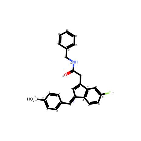 O=C(CC1=C/C(=C\c2ccc(C(=O)O)cc2)c2ccc(F)cc21)NCc1ccccc1